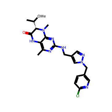 COC(C)[C@H]1C(=O)Nc2c(C)nc(NCc3cnn(Cc4ccc(Cl)nc4)c3)nc2N1C